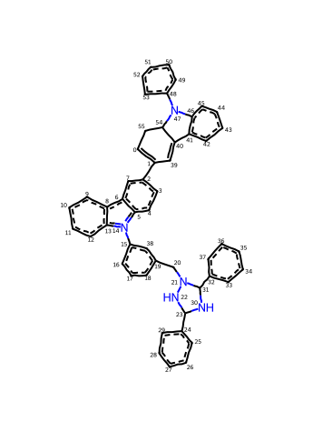 C1=C(c2ccc3c(c2)c2ccccc2n3-c2cccc(CN3NC(c4ccccc4)NC3c3ccccc3)c2)C=C2c3ccccc3N(c3ccccc3)C2C1